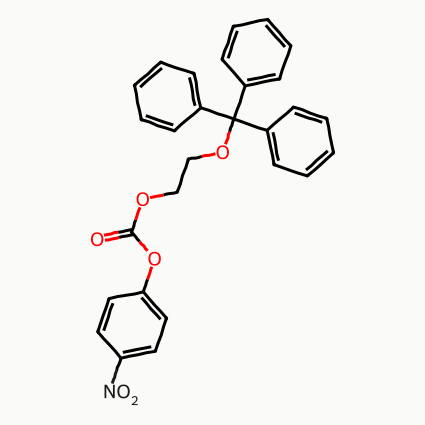 O=C(OCCOC(c1ccccc1)(c1ccccc1)c1ccccc1)Oc1ccc([N+](=O)[O-])cc1